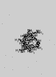 CCCC[C@H](NC(=O)[C@H](CCCNC(=N)N)NC(=O)[C@H](CCN)NC(=O)[C@@H](NC(=O)[C@H](CCCCN)NC(=O)[C@@H](CCN)NC(=O)[C@@H](NC(=O)[C@H](CCN)NC(=O)[C@H](CCCNC(=N)N)NC(=O)[C@H](CC(N)=O)NC(=O)[C@H](CS)NC(=O)[C@@H](N)Cc1ccc(O)cc1)[C@@H](C)O)C(C)(C)S)C(=O)O